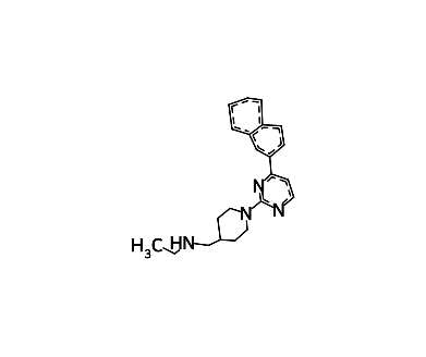 CCNCC1CCN(c2nccc(-c3ccc4ccccc4c3)n2)CC1